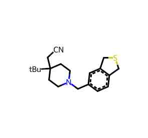 CC(C)(C)C1(CC#N)CCN(Cc2ccc3c(c2)CSC3)CC1